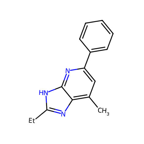 CCc1nc2c(C)cc(-c3ccccc3)nc2[nH]1